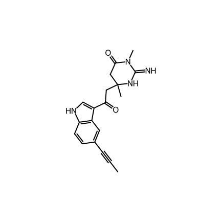 CC#Cc1ccc2[nH]cc(C(=O)CC3(C)CC(=O)N(C)C(=N)N3)c2c1